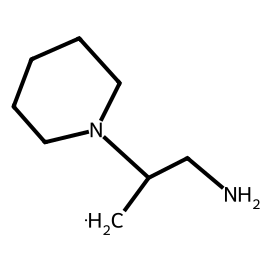 [CH2]C(CN)N1CCCCC1